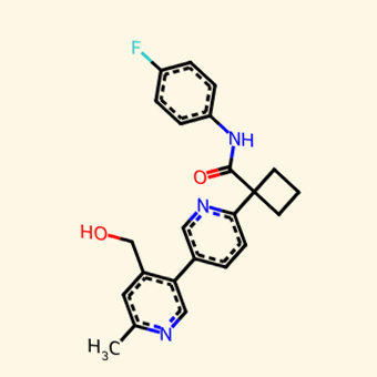 Cc1cc(CO)c(-c2ccc(C3(C(=O)Nc4ccc(F)cc4)CCC3)nc2)cn1